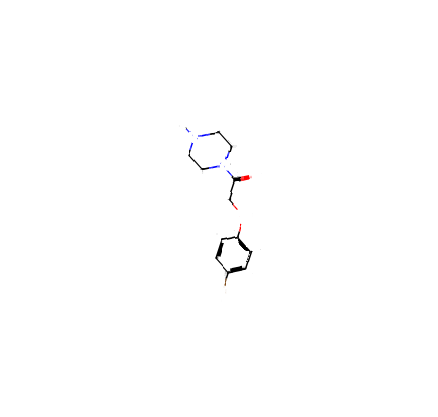 CC(C)(C)N1CCN(C(=O)COc2ccc(Br)cc2)CC1